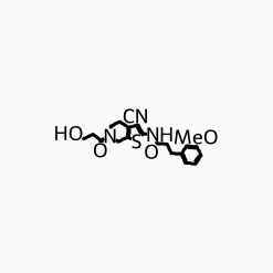 COc1ccccc1CCC(=O)Nc1sc2c(c1C#N)CCN(C(=O)CCO)C2